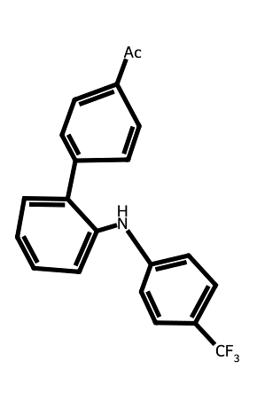 CC(=O)c1ccc(-c2ccccc2Nc2ccc(C(F)(F)F)cc2)cc1